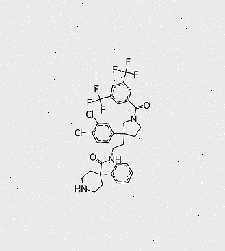 O=C(c1cc(C(F)(F)F)cc(C(F)(F)F)c1)N1CCC(CCNC(=O)C2(c3ccccc3)CCNCC2)(c2ccc(Cl)c(Cl)c2)C1